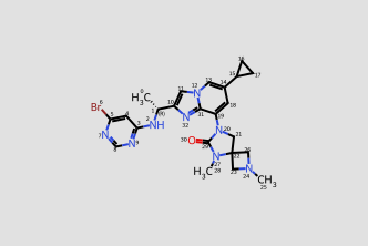 C[C@@H](Nc1cc(Br)ncn1)c1cn2cc(C3CC3)cc(N3CC4(CN(C)C4)N(C)C3=O)c2n1